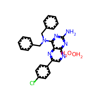 Nc1nc(N(Cc2ccccc2)Cc2ccccc2)c2nc(-c3ccc(Cl)cc3)cnc2n1.O.O